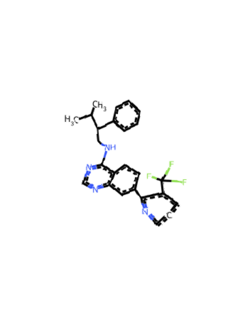 CC(C)C(CNc1ncnc2cc(-c3ncccc3C(F)(F)F)ccc12)c1ccccc1